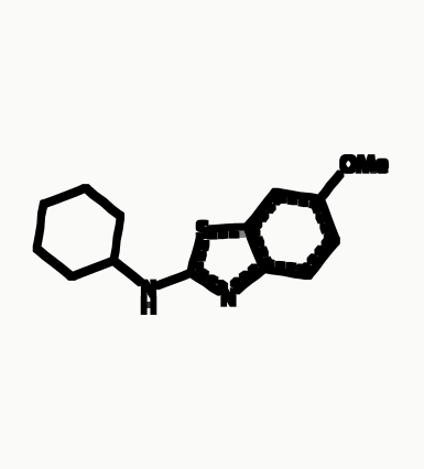 COc1ccc2nc(NC3CCCCC3)sc2c1